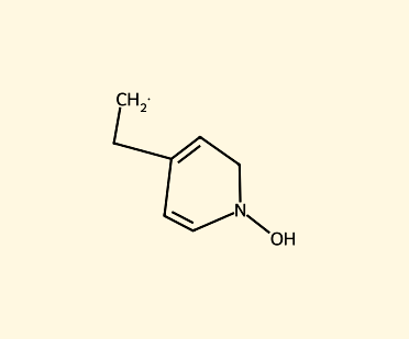 [CH2]CC1=CCN(O)C=C1